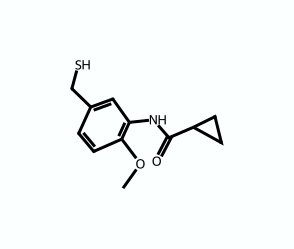 COc1ccc(CS)cc1NC(=O)C1CC1